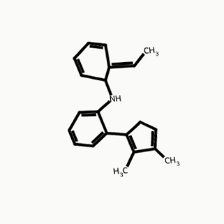 CC=C1C=CC=CC1Nc1ccccc1C1=C(C)C(C)=CC1